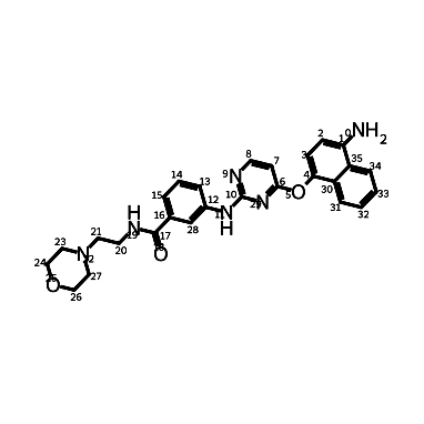 Nc1ccc(Oc2ccnc(Nc3cccc(C(=O)NCCN4CCOCC4)c3)n2)c2ccccc12